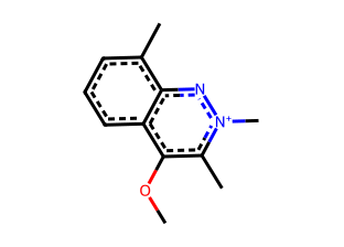 COc1c(C)[n+](C)nc2c(C)cccc12